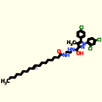 CCCCCCCC/C=C/CCCCCCCC(=O)NCCNC(O)c1nn(-c2ccc(Cl)cc2Cl)c(-c2ccc(Cl)cc2)c1C